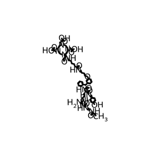 CCC(=O)NCCNC(=O)/N=C(/N)NCCC[C@@H](NC(=O)[C@@H](c1ccccc1)c1cccc(OCCCCNC(=O)CCCCCNC(C=O)N2CCN(CC(=O)O)CCN(CC(=O)O)CCN(CC(=O)O)CC2)c1)C(=O)NCc1ccc(O)cc1